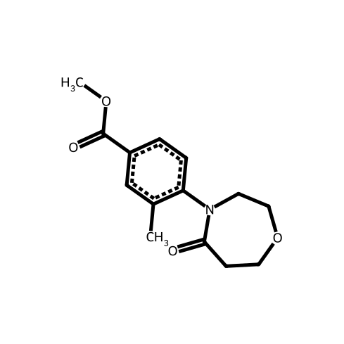 COC(=O)c1ccc(N2CCOCCC2=O)c(C)c1